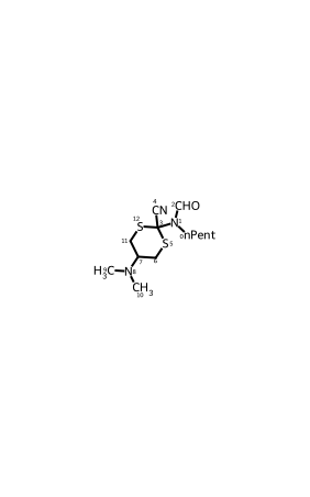 CCCCCN(C=O)C1(C#N)SCC(N(C)C)CS1